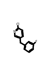 Fc1cccc(Cc2ccc(Cl)nc2)c1